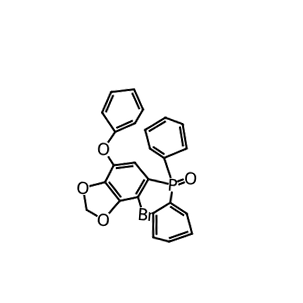 O=P(c1ccccc1)(c1ccccc1)c1cc(Oc2ccccc2)c2c(c1Br)OCO2